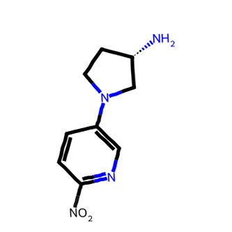 N[C@H]1CCN(c2ccc([N+](=O)[O-])nc2)C1